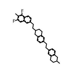 Cc1c(F)cc2cc(CCC3CCc4cc(CCc5ccc6c(c5)CCC(C)C6)ccc4C3)ccc2c1F